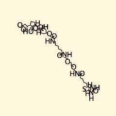 C[C@]12CC[C@H](OCC(=O)NCCCCCC(=O)NCCOCCOCCNC(=O)CCCC[C@@H]3SC[C@@H]4NC(=O)N[C@@H]43)C[C@H]1CC[C@@H]1[C@@H]2C[C@@H](O)[C@]2(C)[C@@H](C3COC(=O)C3)CC[C@]12O